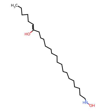 CCCCCC=C(O)CCCCCCCCCCCCCCCCCNO